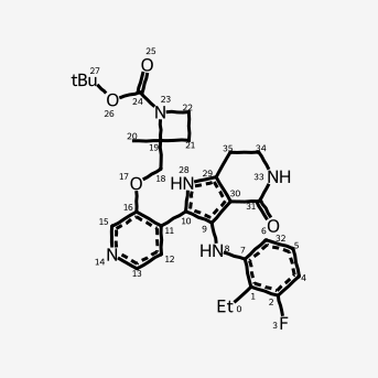 CCc1c(F)cccc1Nc1c(-c2ccncc2OCC2(C)CCN2C(=O)OC(C)(C)C)[nH]c2c1C(=O)NCC2